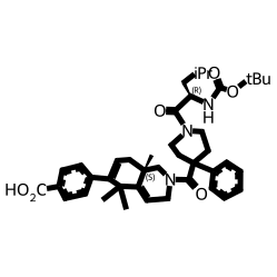 CC(C)C[C@@H](NC(=O)OC(C)(C)C)C(=O)N1CCC(C(=O)N2CC=C3C(C)(C)C(c4ccc(C(=O)O)cc4)=CC[C@]3(C)C2)(c2ccccc2)CC1